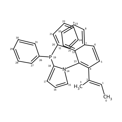 CC=C(C)c1ccc2ccccc2c1-n1cccc1P(c1ccccc1)c1ccccc1